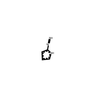 [NH]=[Ni][c]1ccc[nH]1